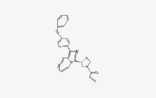 C=CC(=O)N1CC[C@H](c2nc(-c3ccc(Oc4ccccc4)cc3)c3cnccn23)C1